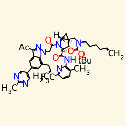 C=CCCCCN(C[C@@]12C[C@@H](C(=O)Nc3nc(C(F)(F)F)ccc3C)N(C(=O)Cn3nc(C(C)=O)c4cc(-c5cnc(C)nc5)cc(CC=C)c43)[C@@H]1C2)C(=O)OC(C)(C)C